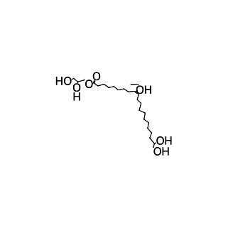 CCO.O=C(CCCCCCC/C=C\CCCCCCCCCC(O)CO)OCC(O)CO